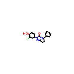 O=c1n(-c2ccc(O)c(F)c2)nc2n1C(c1ccccc1)CC2